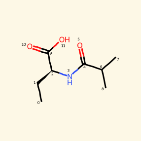 CC[C@H](NC(=O)C(C)C)C(=O)O